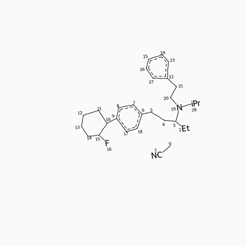 CC#N.CCC(CCc1ccc(C2CCCCC2F)cc1)N(CCc1ccccc1)C(C)C